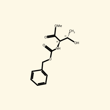 COC(=O)[C@H](NC(=O)OCc1ccccc1)[C@H](C)O